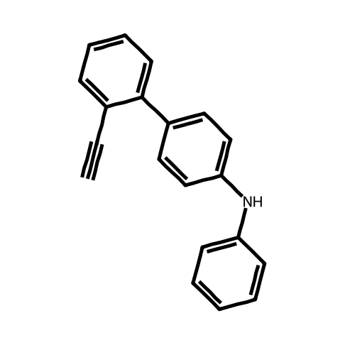 C#Cc1ccccc1-c1ccc(Nc2ccccc2)cc1